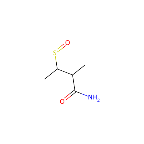 CC([S+]=O)C(C)C(N)=O